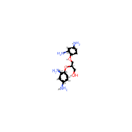 Nc1ccc(OCC(CO)Oc2ccc(N)cc2N)c(N)c1